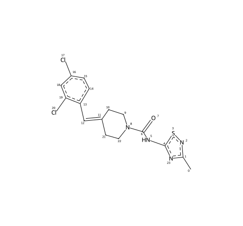 Cc1nsc(NC(=O)N2CCC(=Cc3ccc(Cl)cc3Cl)CC2)n1